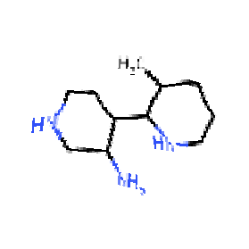 CC1CCCNC1C1CCNCC1N